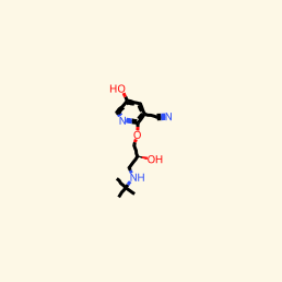 CC(C)(C)NC[C@H](O)COc1ncc(O)cc1C#N